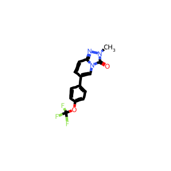 Cn1nc2ccc(-c3ccc(OC(F)(F)F)cc3)cn2c1=O